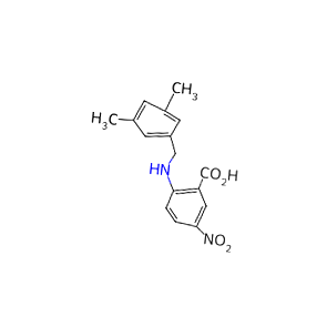 Cc1cc(C)cc(CNc2ccc([N+](=O)[O-])cc2C(=O)O)c1